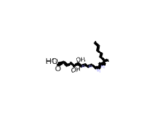 CCCCCC(C)/C=C/C=C\C=C\C=C\C(O)C(O)CCCC(=O)O